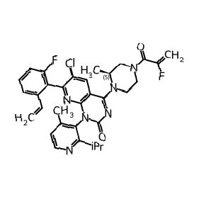 C=Cc1cccc(F)c1-c1nc2c(cc1Cl)c(N1CCN(C(=O)C(=C)F)C[C@@H]1C)nc(=O)n2-c1c(C)ccnc1C(C)C